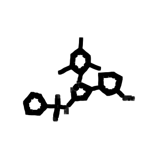 COc1cccc(-c2cc(NS(=O)(=O)c3ccccc3)nn2-c2c(C)cc(C)cc2C)c1